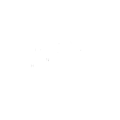 C[N+](C)(C)Cc1ccccc1.[O-][Cl+][O-]